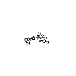 CC1CCC(C(=O)N(c2nn(-c3ccc(-c4cc5cccc(O)c5o4)cc3)cc2C(=O)O)C(C)C)CC1